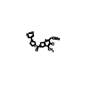 COCc1nc2c(c(C)c1Cl)CN(C(=O)[C@@H]1CCN(c3cncnc3)C1)C2